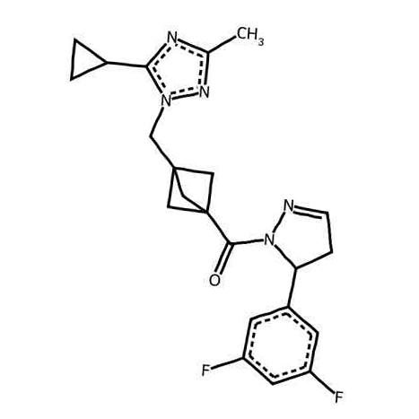 Cc1nc(C2CC2)n(CC23CC(C(=O)N4N=CCC4c4cc(F)cc(F)c4)(C2)C3)n1